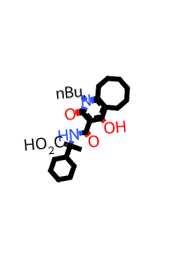 CCCCn1c2c(c(O)c(C(=O)NC(C)(C(=O)O)C3CCCCC3)c1=O)CCCCCC2